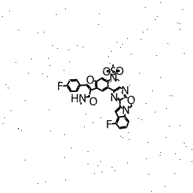 CNC(=O)c1c(-c2ccc(F)cc2)oc2cc(N(C)S(C)(=O)=O)c(-c3cnc4c(n3)-c3cc5c(F)cccc5n3CO4)cc12